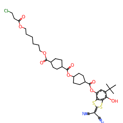 CC(C)(C)c1cc(OC(=O)C2CCC(OC(=O)C3CCC(C(=O)OCCCCCCOC(=O)CCCl)CC3)CC2)c2c(c1O)SC(=C(C#N)C#N)S2